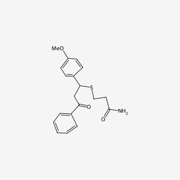 COc1ccc(C(CC(=O)c2ccccc2)SCCC(N)=O)cc1